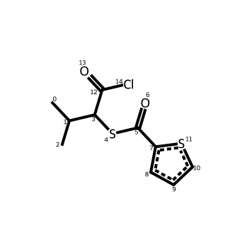 CC(C)C(SC(=O)c1cccs1)C(=O)Cl